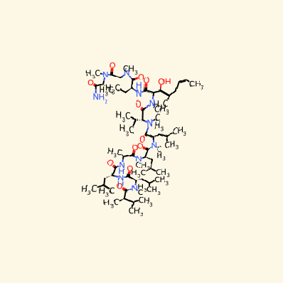 C/C=C\C[C@@H](C)[C@H](O)C(C(=O)N[C@@H](CC)C(=O)N(C)CC(=O)N(C)[C@H](C)C(N)=O)N(C)C(=O)[C@@H](C(C)C)N(C)C(=O)[C@@H](CC(C)C)N(C)C(=O)[C@@H](CC(C)C)N(C)C(=O)[C@H](C)NC(=O)[C@@H](CC(C)C)NC(=O)[C@H](CC(C)C)N(C)C(=O)[C@H](C)C(C)C